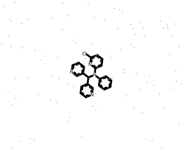 Clc1cccc(N(c2ccccc2)C(c2cccnc2)c2cccnc2)n1